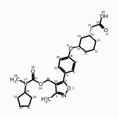 Cc1noc(-c2ccc(O[C@@H]3CCC[C@@H](CC(=O)O)C3)cc2)c1COC(=O)N(C)C1CCCC1